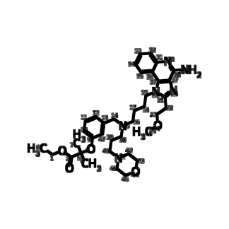 CCOC(=O)C(C)(C)Oc1cccc(CN(CCCCn2c(CCOC)nc3c(N)nc4ccccc4c32)CCCN2CCOCC2)c1